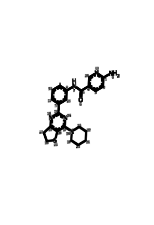 Nc1ccc(C(=O)Nc2cccc(-c3nc4c(c(N5CCCCC5)n3)SCC4)c2)cn1